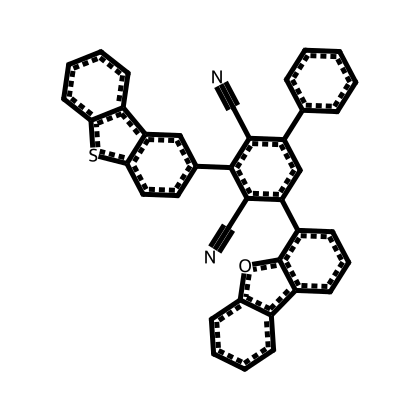 N#Cc1c(-c2ccccc2)cc(-c2cccc3c2oc2ccccc23)c(C#N)c1-c1ccc2sc3ccccc3c2c1